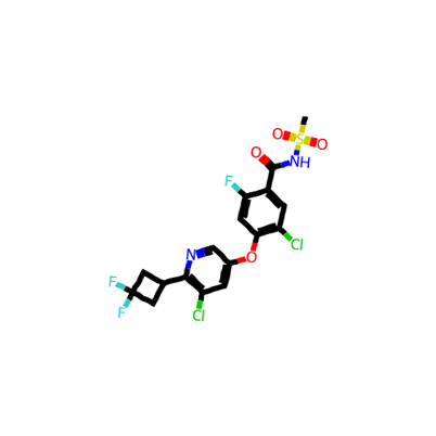 CS(=O)(=O)NC(=O)c1cc(Cl)c(Oc2cnc(C3CC(F)(F)C3)c(Cl)c2)cc1F